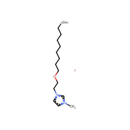 CCCCCCCCCCCCCCCCCCOCCn1cc[n+](C)c1.[I-]